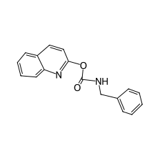 O=C(NCc1ccccc1)Oc1ccc2ccccc2n1